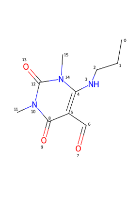 CCCNc1c(C=O)c(=O)n(C)c(=O)n1C